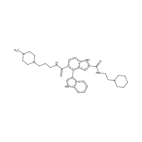 CN1CCN(CCCNC(=O)c2ccc3[nH]c(C(=O)NCCN4CCCCC4)[c]c3c2-c2c[nH]c3ccccc23)CC1